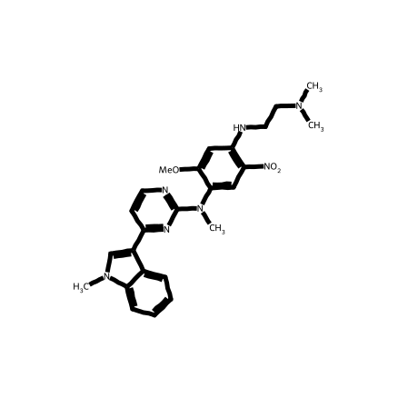 COc1cc(NCCN(C)C)c([N+](=O)[O-])cc1N(C)c1nccc(-c2cn(C)c3ccccc23)n1